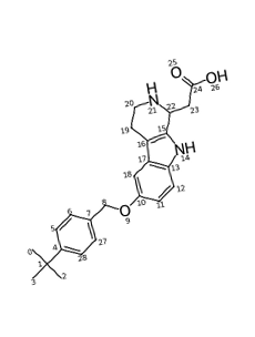 CC(C)(C)c1ccc(COc2ccc3[nH]c4c(c3c2)CCNC4CC(=O)O)cc1